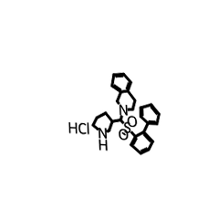 Cl.O=S(=O)(c1ccccc1-c1ccccc1)C(C1CCCNC1)N1CCc2ccccc2C1